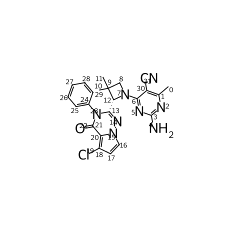 Cc1nc(N)nc(N2CC(C)(C)[C@H]2c2nn3ccc(Cl)c3c(=O)n2-c2ccccc2)c1C#N